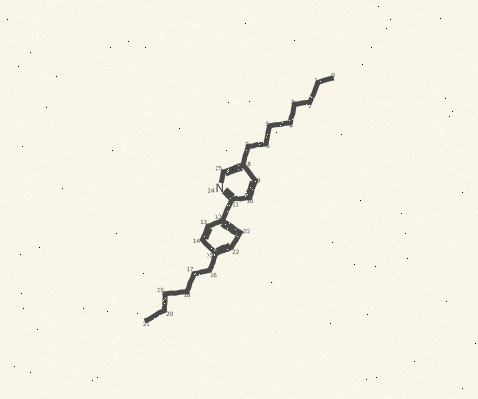 CCCCCCCCc1ccc(-c2ccc(CCCCCC)cc2)nc1